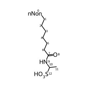 CCCCCCCCCCCCCCCC(=O)NC(C)S(=O)(=O)O